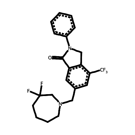 O=C1c2cc(CN3CCCCC(F)(F)C3)cc(C(F)(F)F)c2CN1c1ccccc1